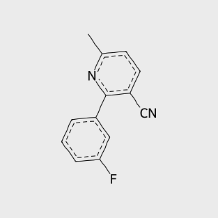 Cc1ccc(C#N)c(-c2cccc(F)c2)n1